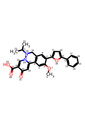 COc1cc2c(cc1-c1ccc(-c3ccccc3)o1)CN(C(C)C)n1cc(C(=O)O)c(=O)cc1-2